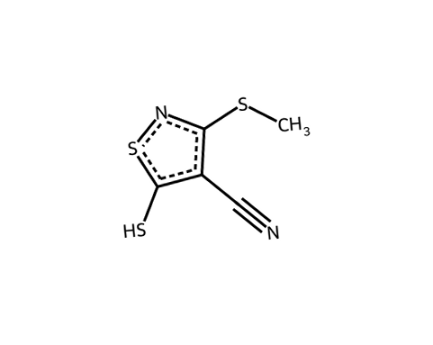 CSc1nsc(S)c1C#N